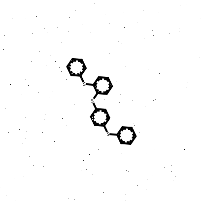 c1ccc(Sc2ccc(Sc3ccccc3Sc3ccccc3)cc2)cc1